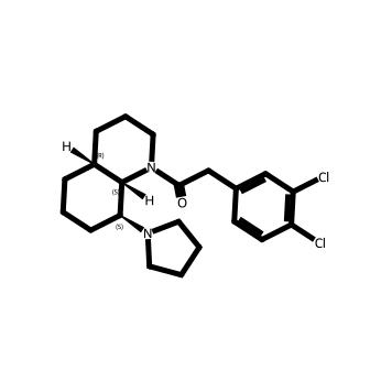 O=C(Cc1ccc(Cl)c(Cl)c1)N1CCC[C@H]2CCC[C@H](N3CCCC3)[C@H]21